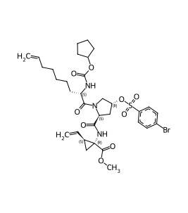 C=CCCCCC[C@H](NC(=O)OC1CCCC1)C(=O)N1C[C@H](OS(=O)(=O)c2ccc(Br)cc2)C[C@H]1C(=O)N[C@]1(C(=O)OC)C[C@H]1C=C